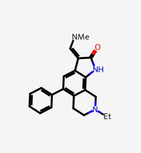 CCN1CCc2c(-c3ccccc3)cc3c(c2C1)NC(=O)C3=CNC